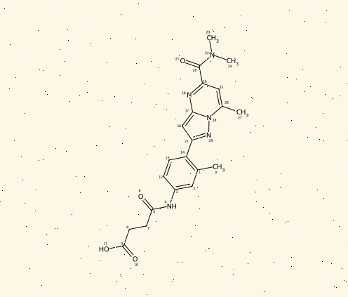 Cc1cc(NC(=O)CCC(=O)O)ccc1-c1cc2nc(C(=O)N(C)C)cc(C)n2n1